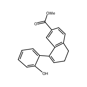 COC(=O)c1ccc2c(c1)C(c1ccccc1O)=CCC2